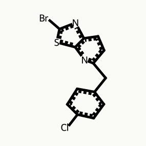 Clc1ccc(Cc2ccc3nc(Br)sc3n2)cc1